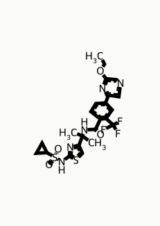 CCOc1cncc(-c2ccc(C(=O)NC(C)(C)c3csc(NS(=O)(=O)C4CC4)n3)c(C(F)(F)F)c2)n1